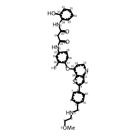 COCCNCc1ccc(-c2cc3nccc(Oc4ccc(NC(=O)CC(=O)Nc5ccccc5O)cc4F)c3s2)cc1